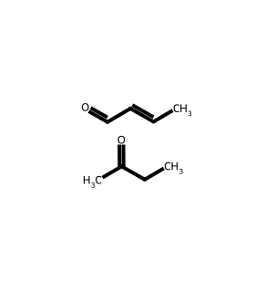 C/C=C/C=O.CCC(C)=O